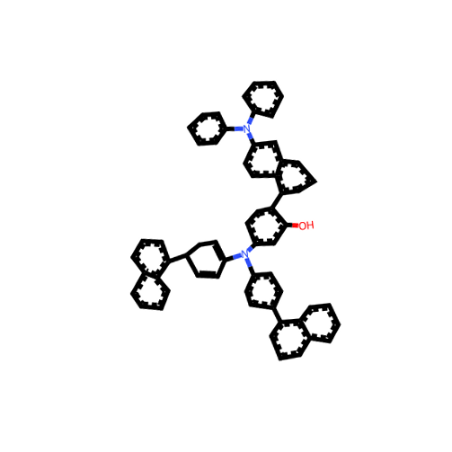 Oc1cc(N(C2=CCC(c3cccc4ccccc34)C=C2)c2ccc(-c3cccc4ccccc34)cc2)ccc1-c1cccc2cc(N(c3ccccc3)c3ccccc3)ccc12